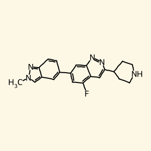 Cn1cc2cc(-c3cc(F)c4cc(C5CCNCC5)nnc4c3)ccc2n1